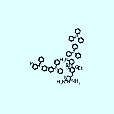 CCOc1cc(Cc2cnc(N)nc2N)cc(OCC)c1-c1cccc(N)c1.[Pd].c1ccc(P(c2ccccc2)c2ccccc2)cc1.c1ccc(P(c2ccccc2)c2ccccc2)cc1.c1ccc(P(c2ccccc2)c2ccccc2)cc1.c1ccc(P(c2ccccc2)c2ccccc2)cc1